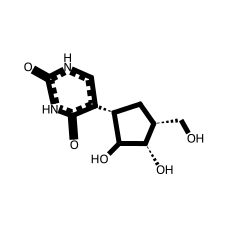 O=c1[nH]cc([C@@H]2C[C@H](CO)[C@H](O)C2O)c(=O)[nH]1